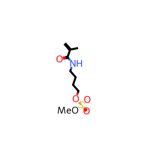 C=C(C)C(=O)NCCCCOS(=O)(=O)OC